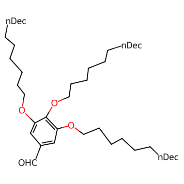 CCCCCCCCCCCCCCCCOc1cc(C=O)cc(OCCCCCCCCCCCCCCCC)c1OCCCCCCCCCCCCCCCC